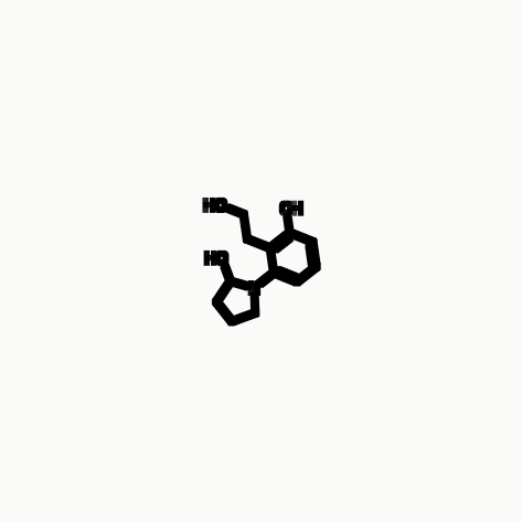 OCCc1c(O)cccc1N1CCCC1O